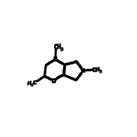 CC1CN(C)C2CN(C)CC2O1